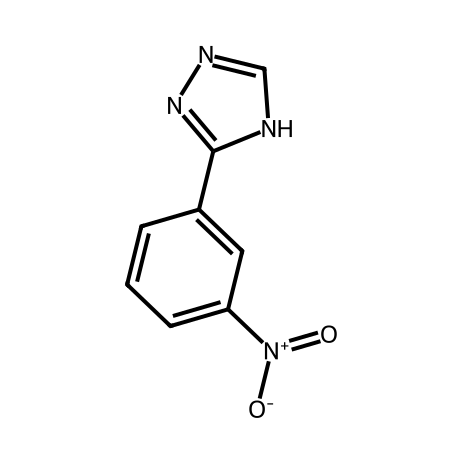 O=[N+]([O-])c1cccc(-c2nnc[nH]2)c1